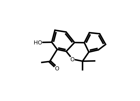 CC(=O)c1c(O)ccc2c1OC(C)(C)c1ccccc1-2